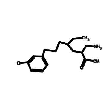 CCC(CCCc1cccc(Cl)c1)CC(CN)C(=O)O